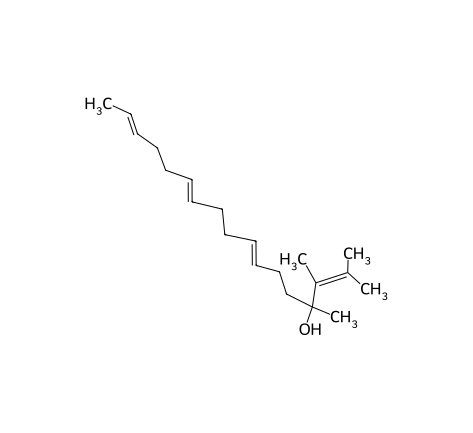 CC=CCCC=CCCC=CCCC(C)(O)C(C)=C(C)C